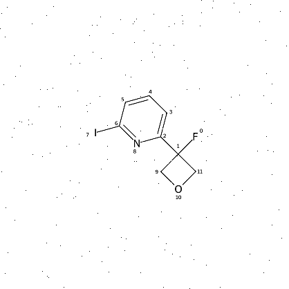 FC1(c2cccc(I)n2)COC1